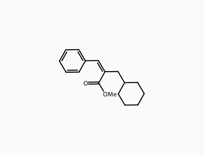 COC(=O)C(=Cc1ccccc1)CC1CCCCC1